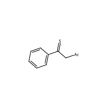 CC(=O)CC(=S)c1ccccc1